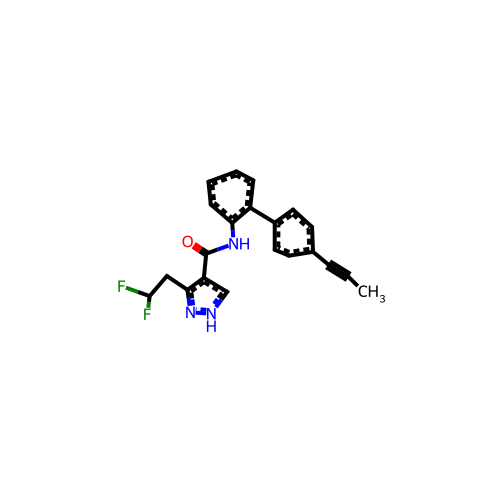 CC#Cc1ccc(-c2ccccc2NC(=O)c2c[nH]nc2CC(F)F)cc1